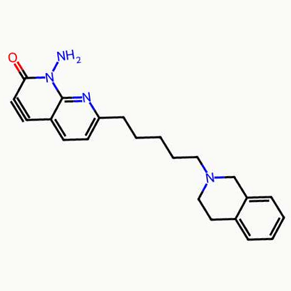 Nn1c(=O)c#cc2ccc(CCCCCN3CCc4ccccc4C3)nc21